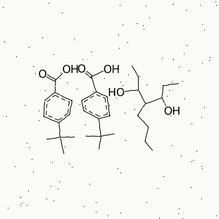 CC(C)(C)c1ccc(C(=O)O)cc1.CC(C)(C)c1ccc(C(=O)O)cc1.CCCCC(C(O)CC)C(O)CC